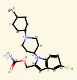 CC(C)C1CCC(N2CCC(n3c(COC(N)=O)cc4cc(F)ccc43)CC2)CC1